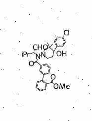 COC(=O)c1ccccc1-c1cccc(C(=O)N([C@@H](C=O)C(C)C)N2CC[C@](O)(c3ccc(Cl)cc3)C(C)(C)C2)c1